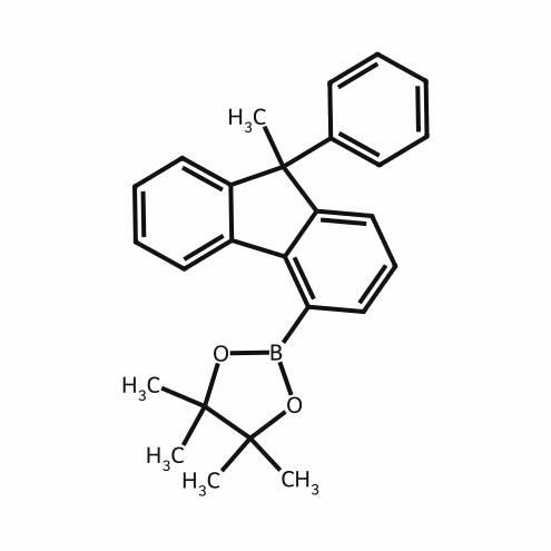 CC1(c2ccccc2)c2ccccc2-c2c(B3OC(C)(C)C(C)(C)O3)cccc21